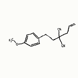 C=CCC(C#N)(C#N)CCc1ccc(OC(F)(F)F)cc1